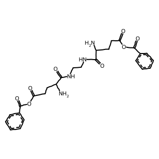 NC(CCC(=O)OC(=O)c1ccccc1)C(=O)NCCNC(=O)C(N)CCC(=O)OC(=O)c1ccccc1